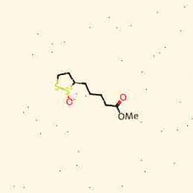 COC(=O)CCCC[C@@H]1CCS[S+]1[O-]